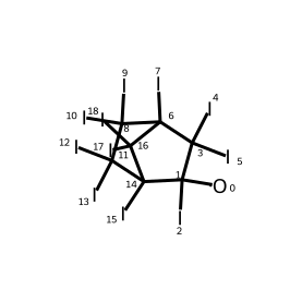 [O]C1(I)C(I)(I)C2(I)C(I)(I)C(I)(I)C1(I)C2(I)I